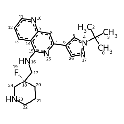 CC(C)(C)n1cc(-c2cc3ncccc3c(NC[C@@]3(F)CCCNC3)n2)cn1